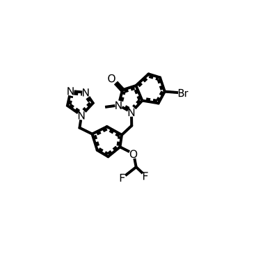 Cn1c(=O)c2ccc(Br)cc2n1Cc1cc(Cn2cnnc2)ccc1OC(F)F